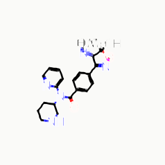 CO/N=C1/C(c2ccc(C(=O)N(c3ccccn3)C3CCCNC3)cc2)=NOC1(C)C